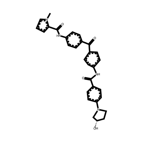 Cn1cccc1C(=O)Nc1ccc(C(=O)c2ccc(NC(=O)c3ccc(N4CC[C@H](O)C4)cc3)cc2)cc1